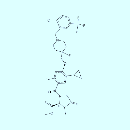 COC(=O)[C@@H]1C(C)C(=O)CN1C(=O)c1cc(C2CC2)c(OCC2(F)CCN(Cc3cc(C(F)(F)F)ccc3Cl)CC2)cc1F